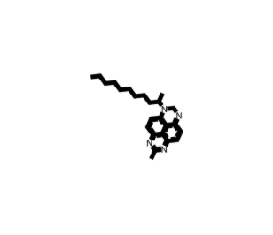 CCCCCCCCCC(C)N1CN=c2ccc3nc(C)nc4ccc1c2c43